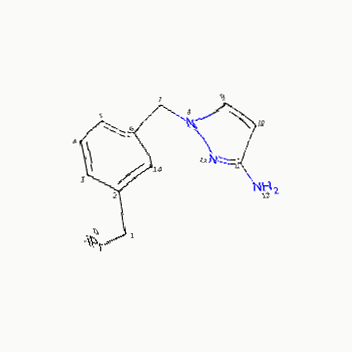 C[C](C)Cc1cccc(Cn2ccc(N)n2)c1